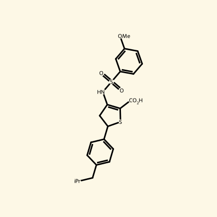 COc1cccc(S(=O)(=O)NC2=C(C(=O)O)SC(c3ccc(CC(C)C)cc3)C2)c1